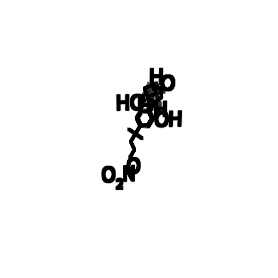 CC(C)(CCCO[N+](=O)[O-])c1cc(O)c([C@H]2CC(=O)[C@H]3C[C@@H]2C3(C)C)c(O)c1